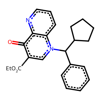 CCOC(=O)c1cn(C(c2ccccc2)C2CCCC2)c2cccnc2c1=O